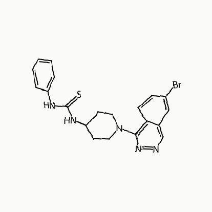 S=C(Nc1ccccc1)NC1CCN(c2nncc3cc(Br)ccc23)CC1